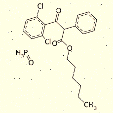 CCCCCCOC(=O)C(C(=O)c1c(Cl)cccc1Cl)c1ccccc1.O=[PH3]